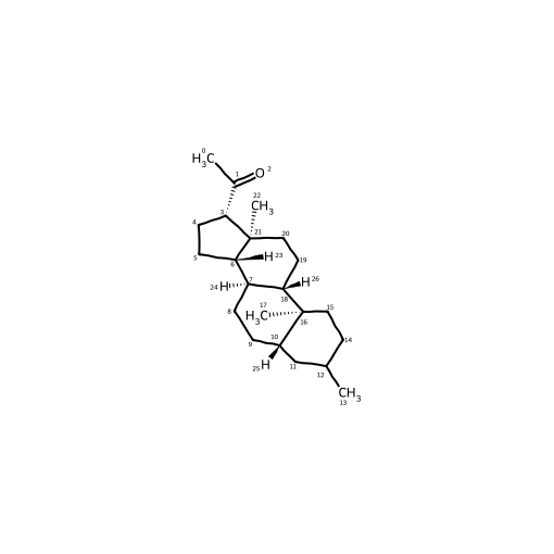 CC(=O)[C@H]1CC[C@H]2[C@@H]3CC[C@H]4CC(C)CC[C@]4(C)[C@H]3CC[C@]12C